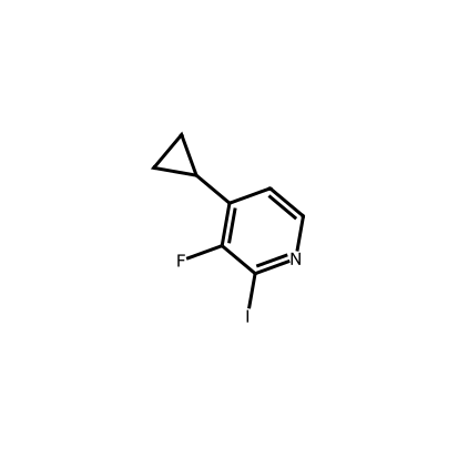 Fc1c(C2CC2)ccnc1I